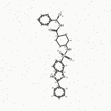 O=C(N[C@@H](c1ccccc1)C(F)(F)F)C1CCC(NS(=O)(=O)c2ccc3[nH]c(-c4ccccc4)nc3c2)CC1